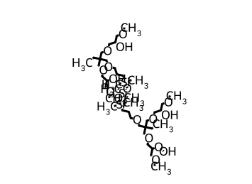 CCC(COCCC[Si](C)(C)O[Si](C)(C)O[Si](C)(C)CCCOCC(CC)(COCC(O)COC)COCC(COC)OO)(COCC(O)COC)COCC(O)COC